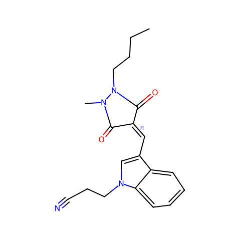 CCCCN1C(=O)/C(=C/c2cn(CCC#N)c3ccccc23)C(=O)N1C